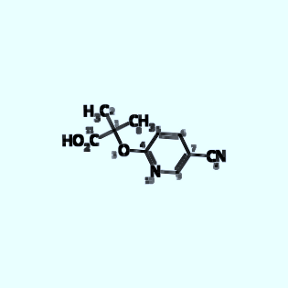 CC(C)(Oc1ccc(C#N)cn1)C(=O)O